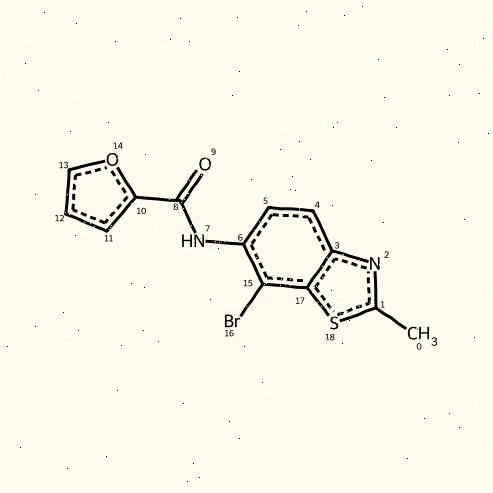 Cc1nc2ccc(NC(=O)c3ccco3)c(Br)c2s1